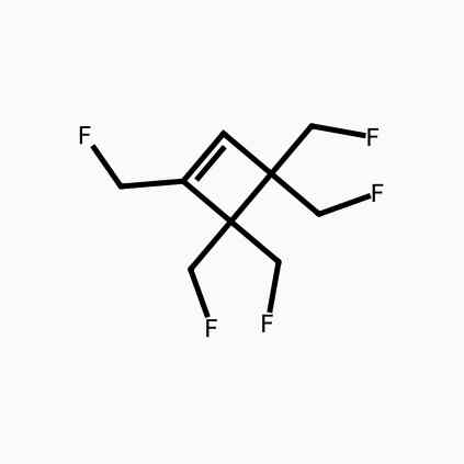 FCC1=CC(CF)(CF)C1(CF)CF